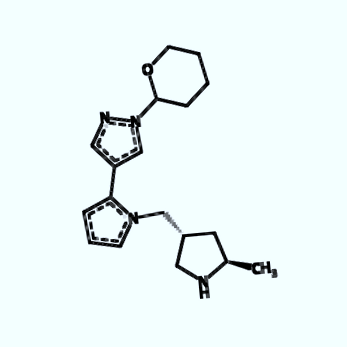 C[C@@H]1C[C@@H](Cn2cccc2-c2cnn(C3CCCCO3)c2)CN1